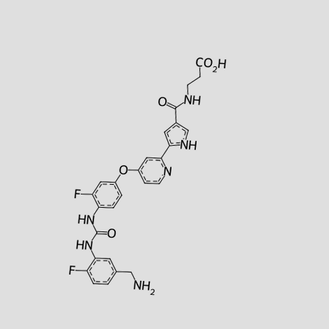 NCc1ccc(F)c(NC(=O)Nc2ccc(Oc3ccnc(-c4cc(C(=O)NCCC(=O)O)c[nH]4)c3)cc2F)c1